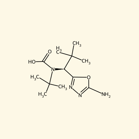 CC(C)(C)[C@@H](c1nnc(N)o1)N(C(=O)O)C(C)(C)C